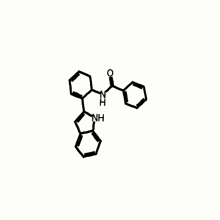 O=C(NC1CC=CC=C1c1cc2ccccc2[nH]1)c1ccccc1